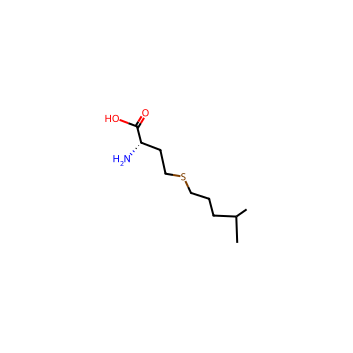 CC(C)CCCSCC[C@H](N)C(=O)O